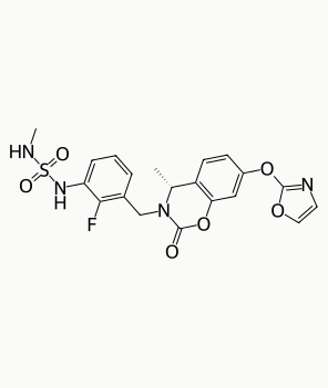 CNS(=O)(=O)Nc1cccc(CN2C(=O)Oc3cc(Oc4ncco4)ccc3[C@H]2C)c1F